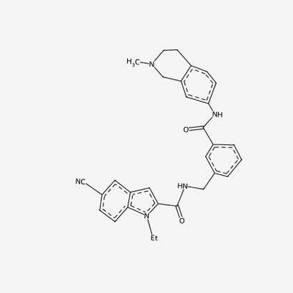 CCn1c(C(=O)NCc2cccc(C(=O)Nc3ccc4c(c3)CN(C)CC4)c2)cc2cc(C#N)ccc21